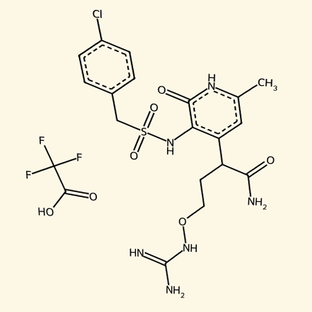 Cc1cc(C(CCONC(=N)N)C(N)=O)c(NS(=O)(=O)Cc2ccc(Cl)cc2)c(=O)[nH]1.O=C(O)C(F)(F)F